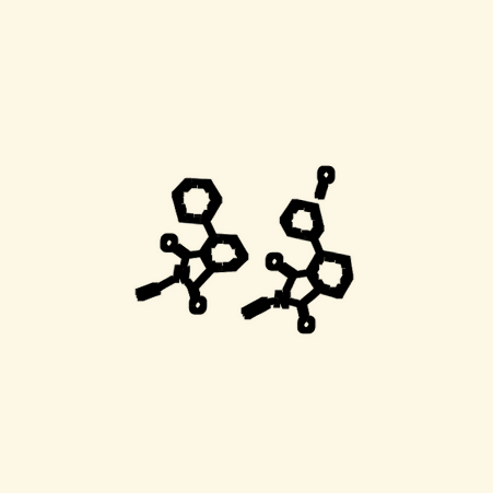 C#CN1C(=O)c2cccc(-c3ccccc3)c2C1=O.C#CN1C(=O)c2cccc(-c3ccccc3)c2C1=O.C=O